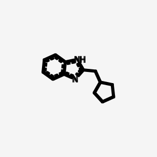 c1ccc2[nH]c(CC3CCCC3)nc2c1